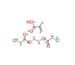 C=C(C)C(=O)O.O=C(CCl)OCCOC(=O)CCl